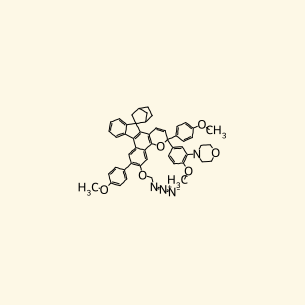 COc1ccc(-c2cc3c4c(c5c(c3cc2OCN=[N+]=[N-])OC(c2ccc(OC)cc2)(c2ccc(OC)c(N3CCOCC3)c2)C=C5)C2(CC3CCC2C3)c2ccccc2-4)cc1